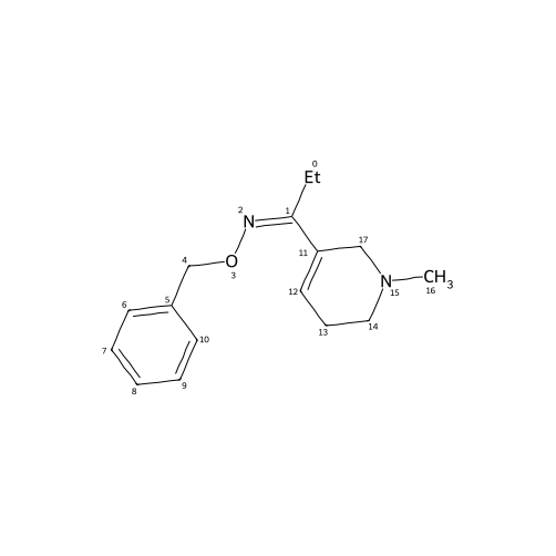 CCC(=NOCc1ccccc1)C1=CCCN(C)C1